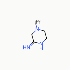 CC(C)N1CCNC(=N)C1